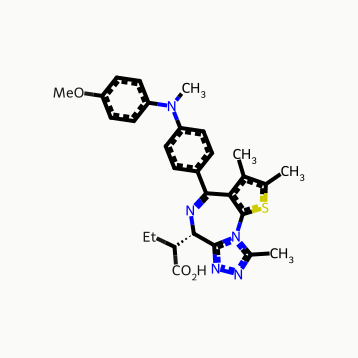 CCC(C(=O)O)[C@@H]1N=C(c2ccc(N(C)c3ccc(OC)cc3)cc2)c2c(sc(C)c2C)-n2c(C)nnc21